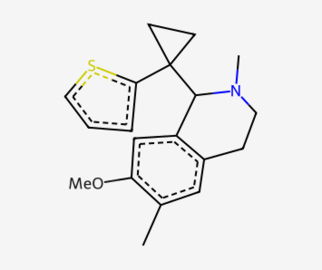 COc1cc2c(cc1C)CCN(C)C2C1(c2cccs2)CC1